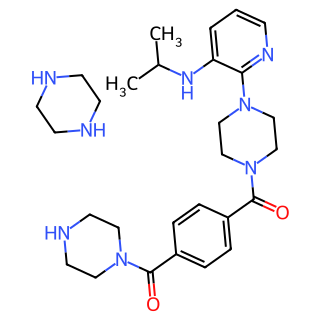 C1CNCCN1.CC(C)Nc1cccnc1N1CCN(C(=O)c2ccc(C(=O)N3CCNCC3)cc2)CC1